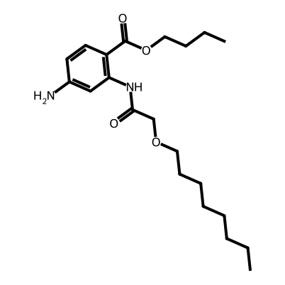 CCCCCCCCOCC(=O)Nc1cc(N)ccc1C(=O)OCCCC